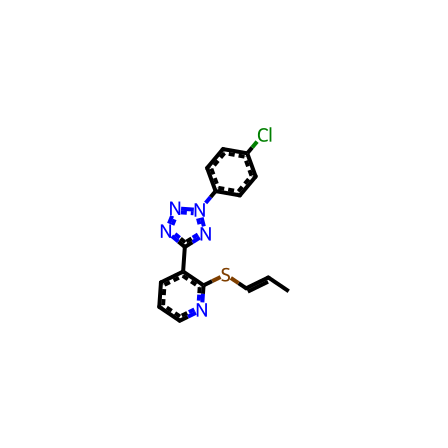 CC=CSc1ncccc1-c1nnn(-c2ccc(Cl)cc2)n1